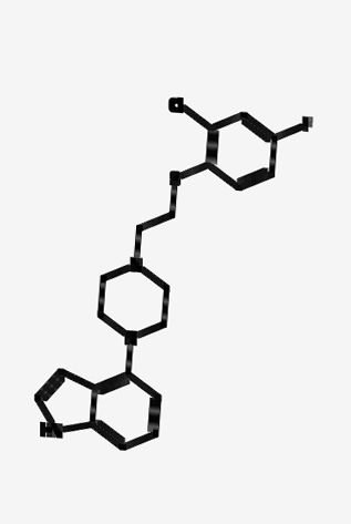 Fc1ccc(SCCN2CCN(c3cccc4[nH]ccc34)CC2)c(Cl)c1